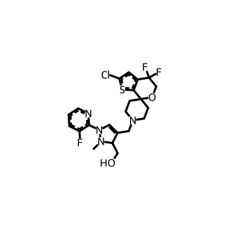 CN1C(CO)C(CN2CCC3(CC2)OCC(F)(F)c2cc(Cl)sc23)=CN1c1ncccc1F